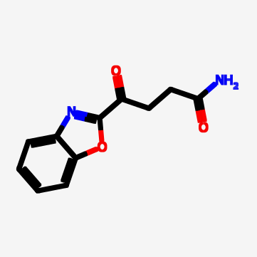 NC(=O)CCC(=O)c1nc2ccccc2o1